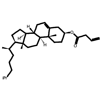 C=CCC(=O)O[C@H]1CC[C@@]2(C)C(=CC[C@H]3[C@@H]4CC[C@H]([C@H](C)CCCC(C)C)[C@@]4(C)CC[C@@H]32)C1